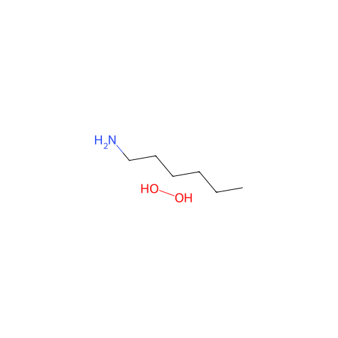 CCCCCCN.OO